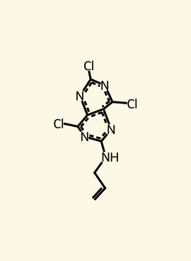 C=CCNc1nc(Cl)c2nc(Cl)nc(Cl)c2n1